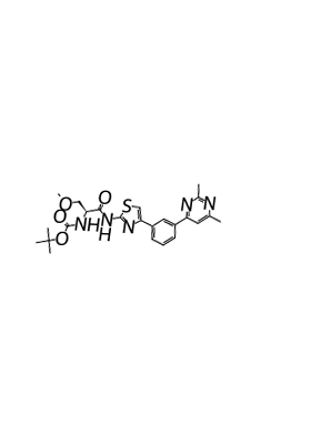 COC[C@H](NC(=O)OC(C)(C)C)C(=O)Nc1nc(-c2cccc(-c3cc(C)nc(C)n3)c2)cs1